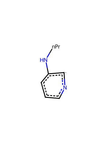 CCCNc1[c]nccc1